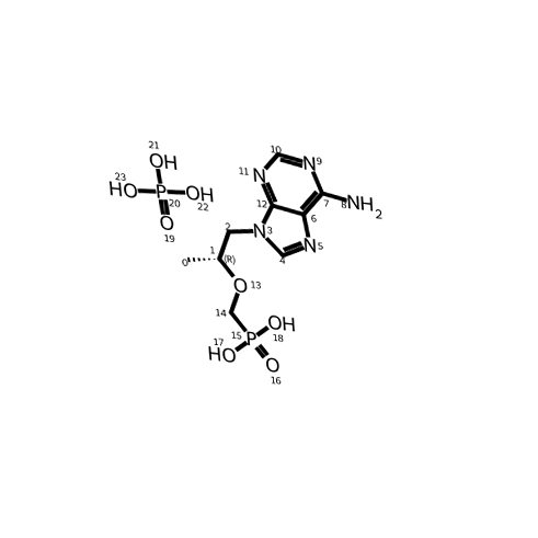 C[C@H](Cn1cnc2c(N)ncnc21)OCP(=O)(O)O.O=P(O)(O)O